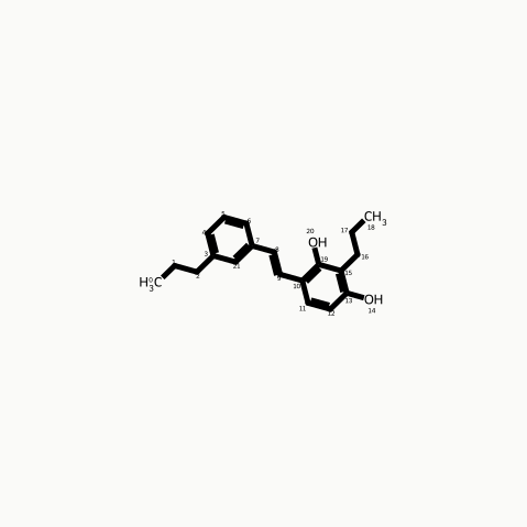 CCCc1cccc(C=Cc2ccc(O)c(CCC)c2O)c1